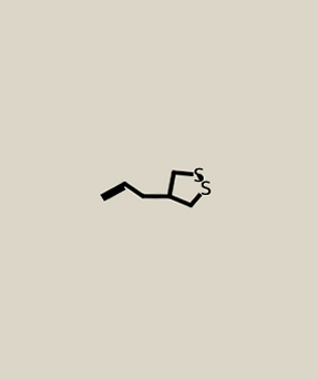 C=CCC1CSSC1